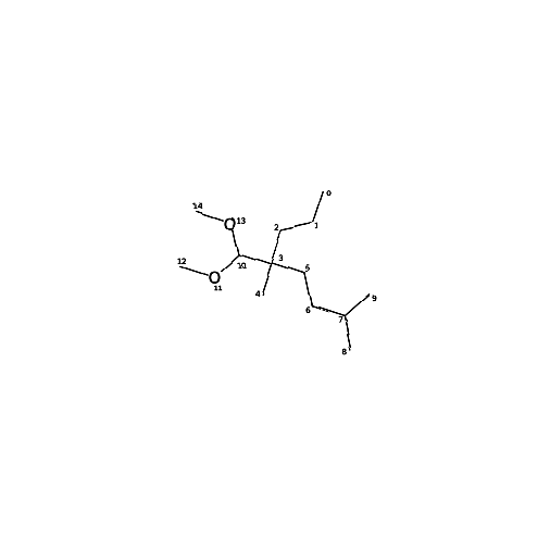 CCCC(C)(CCC(C)C)C(OC)OC